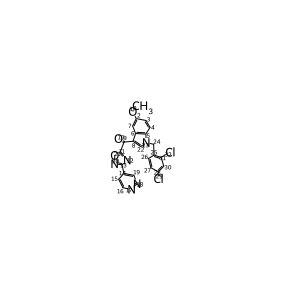 COc1ccc2c(c1)c(C(=O)c1nc(-c3ccnnc3)no1)cn2Cc1ccc(Cl)cc1Cl